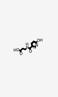 O=C(O)CCNC(=O)c1ccc(O)nn1